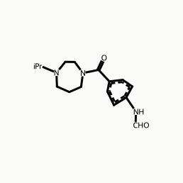 CC(C)N1CCCN(C(=O)c2ccc(NC=O)cc2)CC1